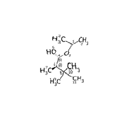 CC(C)O[C@@H](O)[C@H](C)C(C)(C)C